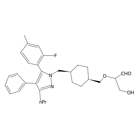 CCCc1nn(C[C@H]2CC[C@@H](COC(C=O)CO)CC2)c(-c2ccc(C)cc2F)c1-c1ccccc1